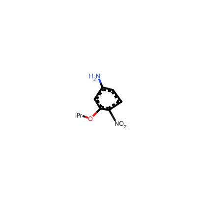 CC(C)Oc1cc(N)ccc1[N+](=O)[O-]